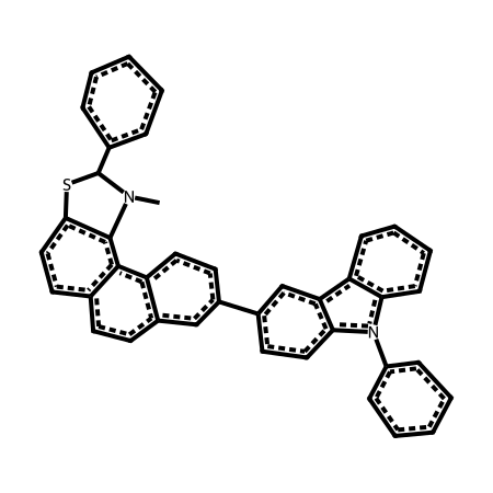 CN1c2c(ccc3ccc4cc(-c5ccc6c(c5)c5ccccc5n6-c5ccccc5)ccc4c23)SC1c1ccccc1